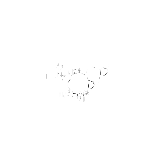 CN(C(=O)O[C@H]1/C=C/CN(C)C(C)(C)C(=O)NS(=O)(=O)c2ccc3c(c2)N(CCCCc2cc(Cl)ccc2CO3)C[C@@H]2CC[C@H]21)[C@H]1CCOC1